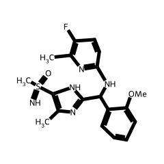 COc1ccccc1C(Nc1ccc(F)c(C)n1)c1nc(C)c(S(C)(=N)=O)[nH]1